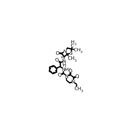 CCN1CCN(C(=O)NC(C(=O)N[C@@H]2C(=O)N3CC(C)(C)SC23C)c2ccccc2)C(=O)C1=O